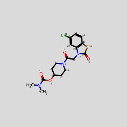 CN(C)C(=O)OC1CCN(C(=O)Cn2c(=O)sc3ccc(Cl)cc32)CC1